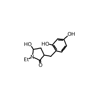 CCN1C(=O)C(Cc2ccc(O)cc2O)CC1O